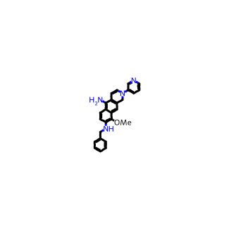 COc1c(NCc2ccccc2)ccc2c(N)c3c(cc12)CN(c1cccnc1)C=C3